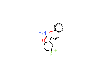 NC(=O)C1(C2CCCC(F)(F)C2)C=Cc2ccccc2O1